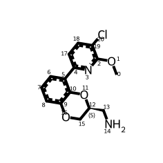 COc1nc(-c2cccc3c2O[C@@H](CN)CO3)ccc1Cl